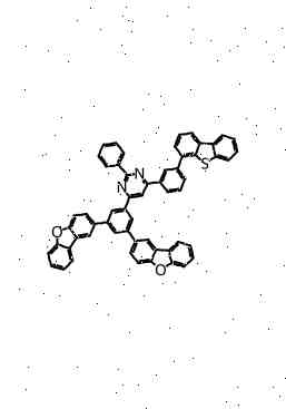 c1ccc(-c2nc(-c3cc(-c4ccc5oc6ccccc6c5c4)cc(-c4ccc5oc6ccccc6c5c4)c3)cc(-c3cccc(-c4cccc5c4sc4ccccc45)c3)n2)cc1